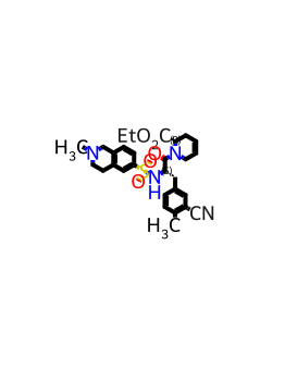 CCOC(=O)[C@H]1CC=CCN1C(=O)[C@H](Cc1ccc(C)c(C#N)c1)NS(=O)(=O)c1ccc2c(c1)CCN(C)C2